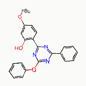 CCCCOc1ccc(-c2nc(Oc3ccccc3)nc(-c3ccccc3)n2)c(O)c1